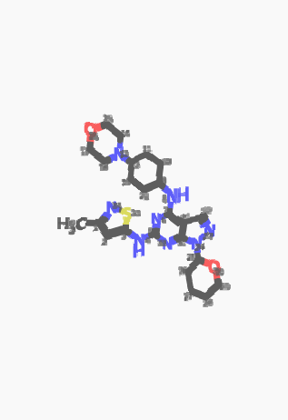 Cc1cc(Nc2nc(NC3CCC(N4CCOCC4)CC3)c3cnn(C4CCCCO4)c3n2)sn1